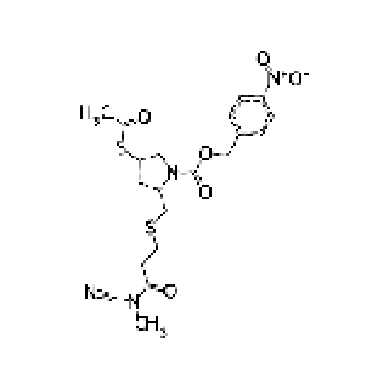 CC(=O)SC1CC(CSCCC(=O)N(C)C#N)N(C(=O)OCc2ccc([N+](=O)[O-])cc2)C1